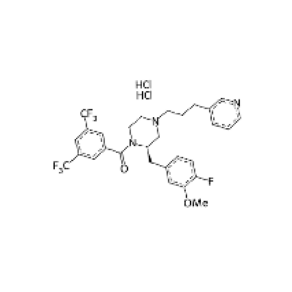 COc1cc(C[C@@H]2CN(CCCc3cccnc3)CCN2C(=O)c2cc(C(F)(F)F)cc(C(F)(F)F)c2)ccc1F.Cl.Cl